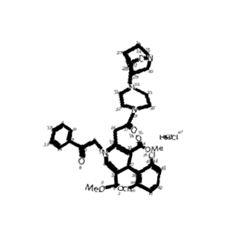 COC(=O)C1=CN(CC(=O)c2ccccc2)C(CC(=O)N2CCN(C3CN4CCC3CC4)CC2)=C(C(=O)OC)C1c1c(Cl)cccc1Cl.Cl.Cl